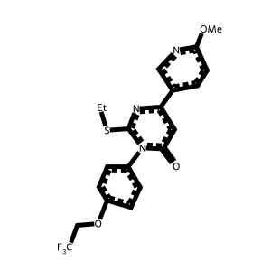 CCSc1nc(-c2ccc(OC)nc2)cc(=O)n1-c1ccc(OCC(F)(F)F)cc1